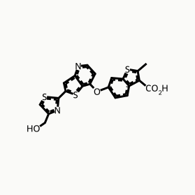 Cc1sc2cc(Oc3ccnc4cc(-c5nc(CO)cs5)sc34)ccc2c1C(=O)O